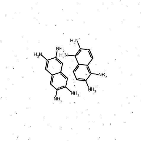 Nc1cc2cc(N)c(N)cc2cc1N.Nc1ccc2c(N)c(N)ccc2c1N